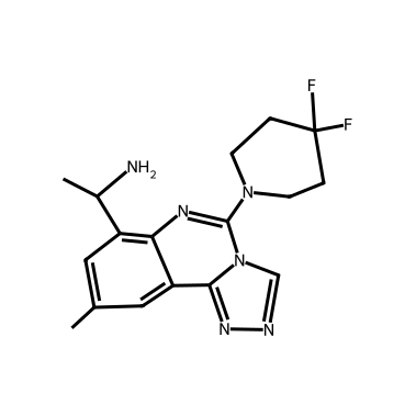 Cc1cc(C(C)N)c2nc(N3CCC(F)(F)CC3)n3cnnc3c2c1